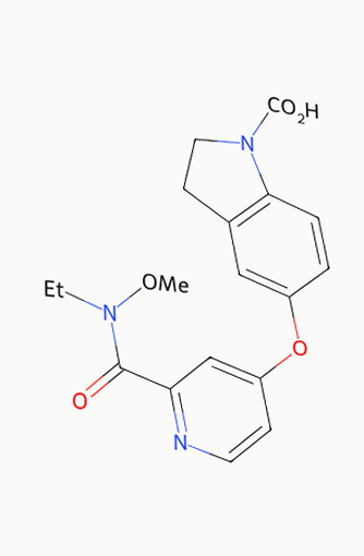 CCN(OC)C(=O)c1cc(Oc2ccc3c(c2)CCN3C(=O)O)ccn1